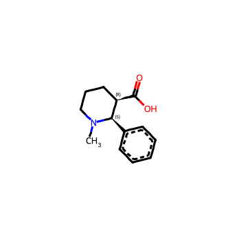 CN1CCC[C@@H](C(=O)O)[C@H]1c1ccccc1